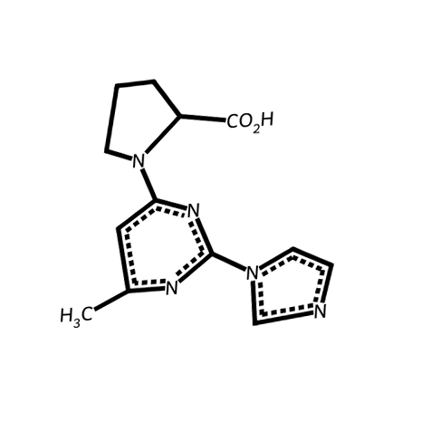 Cc1cc(N2CCCC2C(=O)O)nc(-n2ccnc2)n1